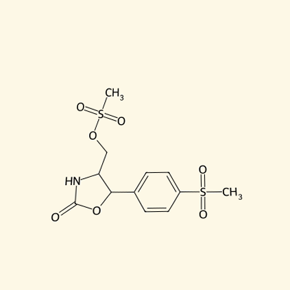 CS(=O)(=O)OCC1NC(=O)OC1c1ccc(S(C)(=O)=O)cc1